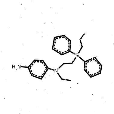 CCC[Si](CCN(CC)c1ccc(N)cc1)(c1ccccc1)c1ccccc1